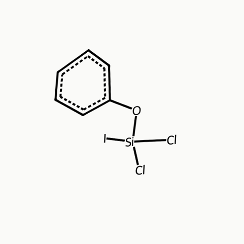 Cl[Si](Cl)(I)Oc1ccccc1